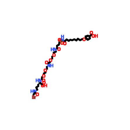 O=C(CBr)NCCCC[C@H](NC(=O)COCCOCCNC(=O)COCCOCCNC(=O)CCCS(=O)(=O)NC(=O)CCCCCCCCCOc1ccc(C(=O)O)cc1)C(=O)O